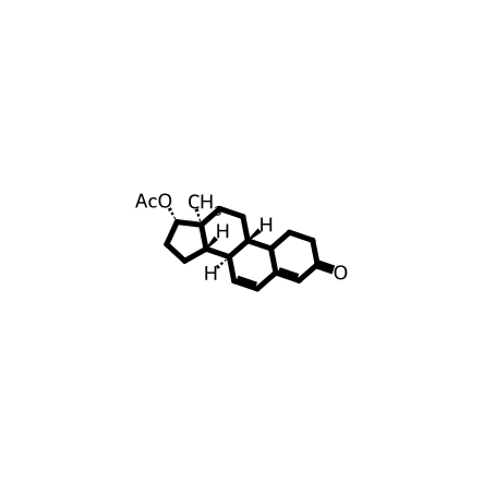 CC(=O)O[C@H]1CC[C@H]2[C@@H]3C=CC4=CC(=O)CCC4[C@H]3CC[C@]12C